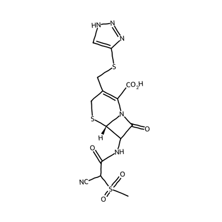 CS(=O)(=O)C(C#N)C(=O)NC1C(=O)N2C(C(=O)O)=C(CSc3c[nH]nn3)CS[C@@H]12